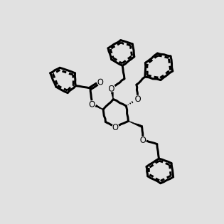 O=C(O[C@@H]1CO[C@H](COCc2ccccc2)[C@@H](OCc2ccccc2)[C@@H]1OCc1ccccc1)c1ccccc1